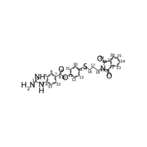 N=C(N)Nc1ccc(C(=O)Oc2ccc(SCCCN3C(=O)c4ccccc4C3=O)cc2)cc1